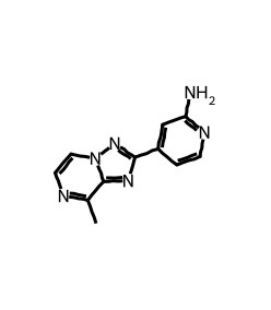 Cc1nccn2nc(-c3ccnc(N)c3)nc12